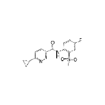 CS(=O)(=O)c1cc(F)ccc1NC(=O)c1ccc(C2CC2)nc1